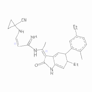 CCc1ccc(C)c(C2C=C3C(=CC2CC)NC(=O)/C3=C(/C)NC(=N)/C=C\NC2(C#N)CC2)c1